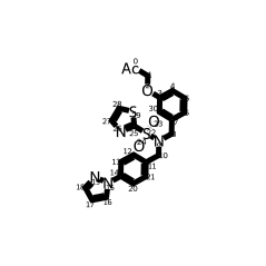 CC(=O)COc1cccc(CN(Cc2ccc(-n3cccn3)cc2)S(=O)(=O)c2nccs2)c1